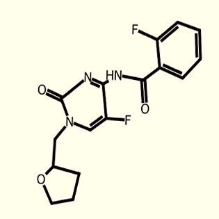 O=C(Nc1nc(=O)n(CC2CCCO2)cc1F)c1ccccc1F